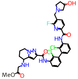 COC(=O)CNC1CCCn2nc(C(=O)Nc3cccc(-c4cccc(NC(=O)c5ccc(CN6CC[C@@H](O)C6)c(F)n5)c4Cl)c3Cl)cc21